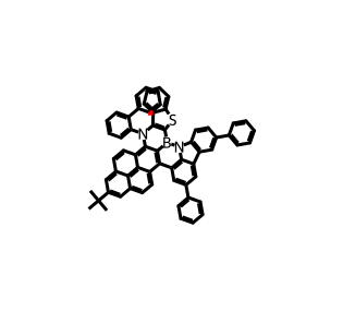 CC(C)(C)c1cc2ccc3c4c5c(c6ccc(c1)c2c36)N(c1ccccc1-c1ccccc1)c1c(sc2ccccc12)B5n1c2ccc(-c3ccccc3)cc2c2cc(-c3ccccc3)cc-4c21